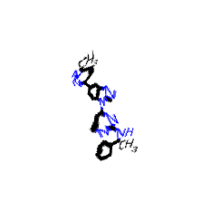 Cc1ccc(-c2ccc3c(c2)ncn3-c2ccnc(N[C@@H](C)c3ccccc3)n2)nn1